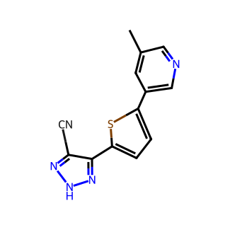 Cc1cncc(-c2ccc(-c3n[nH]nc3C#N)s2)c1